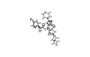 O=C(CN1C2=C(CN(C3CC4(CCC4)C3)O2)On2nc(C3CCCCC3)cc21)Nc1ccc(F)cn1